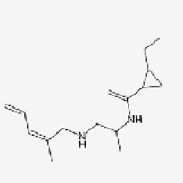 C=C/C=C(/C)CNCC(C)NC(=C)C1CC1CC